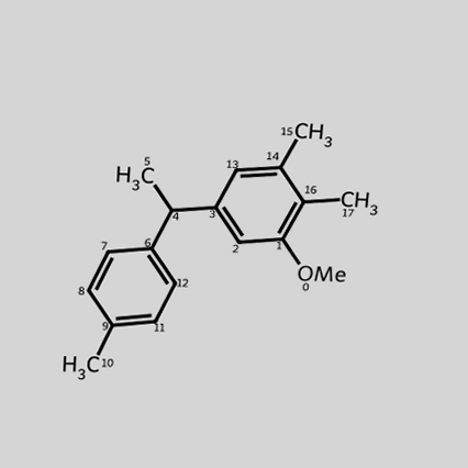 COc1cc(C(C)c2ccc(C)cc2)cc(C)c1C